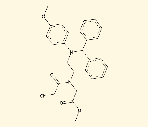 COC(=O)CN(CCN(c1ccc(OC)cc1)C(c1ccccc1)c1ccccc1)C(=O)CCl